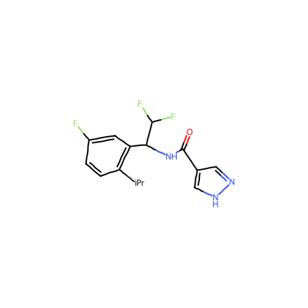 CC(C)c1ccc(F)cc1C(NC(=O)c1cn[nH]c1)C(F)F